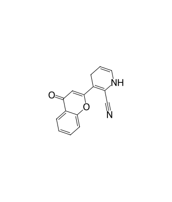 N#CC1=C(c2cc(=O)c3ccccc3o2)CC=CN1